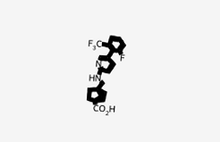 O=C(O)C12CCC(CNc3ccc(-c4c(F)cccc4C(F)(F)F)cn3)(CC1)C2